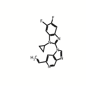 C=Cc1cc2c(cn1)ncn2-c1nc2cc(F)c(F)cc2n1C1CC1